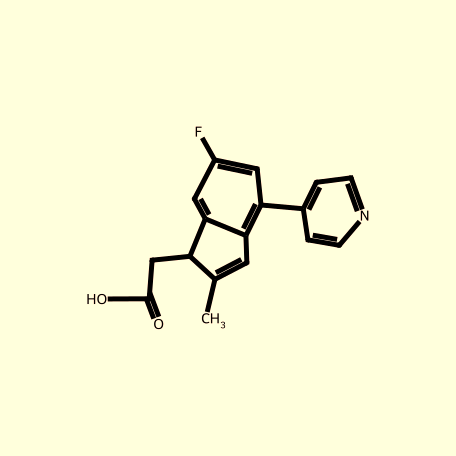 CC1=Cc2c(-c3ccncc3)cc(F)cc2C1CC(=O)O